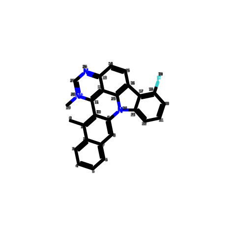 Cc1c2ccccc2cc2c1c1c3c(ccc4c5c(F)cccc5n2c43)nc[n+]1C